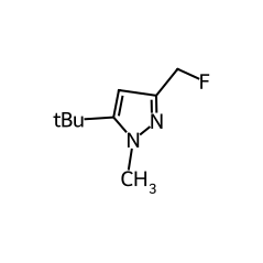 Cn1nc(CF)cc1C(C)(C)C